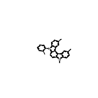 Cc1ccc2c(c1)c1c3c4cc(C)ccc4n(-c4ccccc4C)c3ccc1n2C